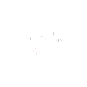 CC(CCC(C(=O)OC(C)C)C(C)CC(C)(C)C)CC(C)(C)C